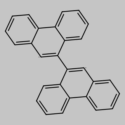 [c]1c(-c2[c]c3ccccc3c3ccccc23)c2ccccc2c2ccccc12